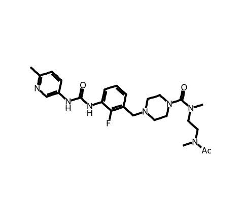 CC(=O)N(C)CCN(C)C(=O)N1CCN(Cc2cccc(NC(=O)Nc3ccc(C)nc3)c2F)CC1